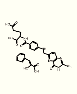 Nc1nc2ncc(CNc3ccc(C(=O)NC(CCC(=O)O)C(=O)O)cc3)nc2c(=O)[nH]1.O=C(O)C(O)=Cc1ccccc1